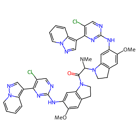 CNC(C(=O)N1CCc2cc(OC)c(Nc3ncc(Cl)c(-c4cnn5ccccc45)n3)cc21)N1CCc2cc(OC)c(Nc3ncc(Cl)c(-c4cnn5ccccc45)n3)cc21